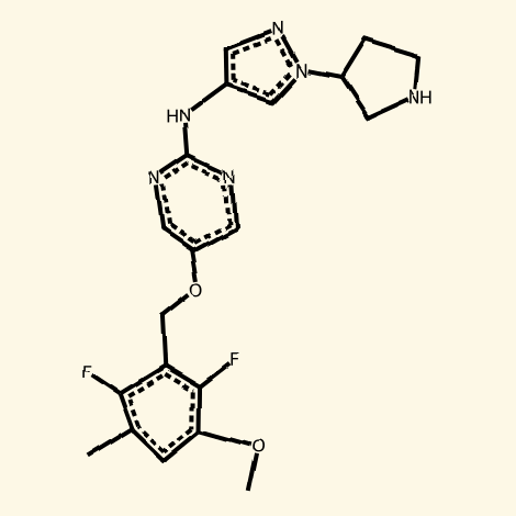 COc1cc(C)c(F)c(COc2cnc(Nc3cnn(C4CCNC4)c3)nc2)c1F